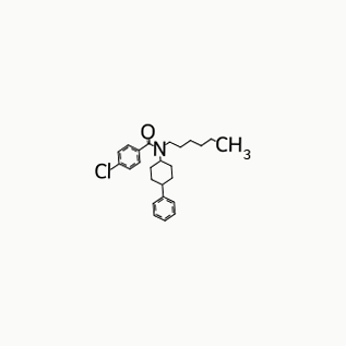 CCCCCCN(C(=O)c1ccc(Cl)cc1)C1CCC(c2ccccc2)CC1